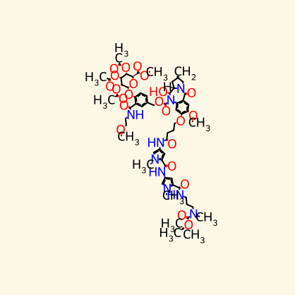 C=C1C[C@H]2C(O)N(C(=O)OCc3ccc(O[C@@H]4O[C@H](C(=O)OC)[C@@H](OC(C)=O)[C@H](OC(C)=O)[C@H]4OC(C)=O)c(C(=O)NCCOC)c3)c3cc(OCCCC(=O)Nc4cc(C(=O)Nc5cc(C(=O)NCCCN(C)C(=O)OC(C)(C)C)n(C)c5)n(C)c4)c(OC)cc3C(=O)N2C1